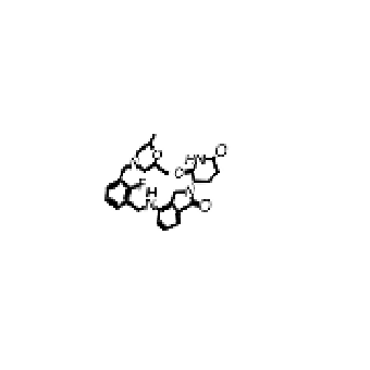 CC1CN(Cc2cccc(CNc3cccc4c3CN([C@H]3CCC(=O)NC3=O)C4=O)c2F)CC(C)O1